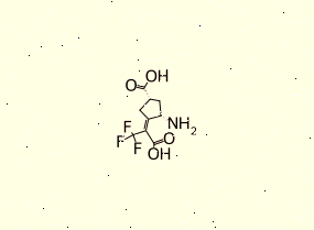 N[C@H]1C[C@@H](C(=O)O)C/C1=C(/C(=O)O)C(F)(F)F